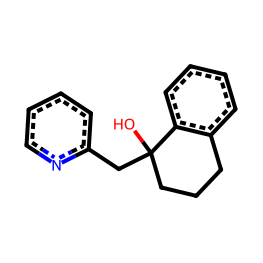 OC1(Cc2ccccn2)CCCc2ccccc21